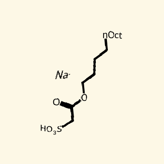 CCCCCCCCCCCCOC(=O)CS(=O)(=O)O.[Na]